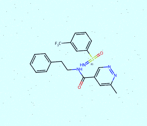 Cc1cc(C(=O)NCCc2ccccc2)c([S@](=N)(=O)c2cccc(C(F)(F)F)c2)nn1